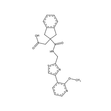 COc1ncccc1-c1csc(CNC(=O)C2(CC(=O)O)Cc3ccccc3C2)n1